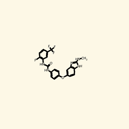 CNc1nc2cc(Oc3ccc(NC(=O)Nc4cc(C(F)(F)F)ccc4F)cc3)ccc2[nH]1